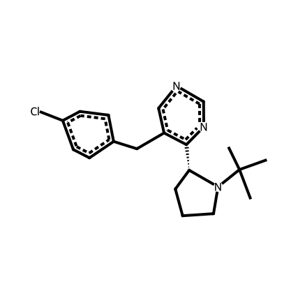 CC(C)(C)N1CCC[C@@H]1c1ncncc1Cc1ccc(Cl)cc1